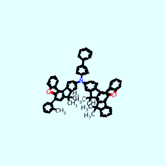 Cc1ccccc1-c1cc2c(c3c1oc1ccccc13)-c1ccc(N(c3ccc(-c4ccccc4)cc3)c3ccc4c(c3)C(C)(C)c3c5c(c6oc7ccccc7c6c3-4)-c3ccccc3C5(C)C)cc1C2(C)C